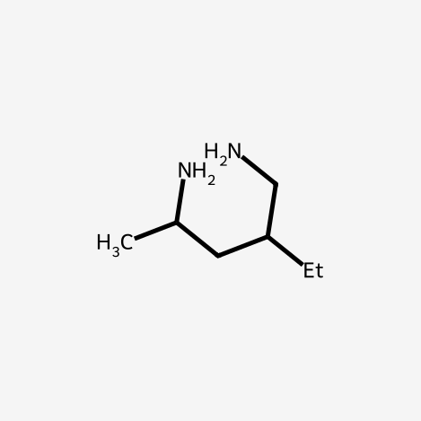 CCC(CN)CC(C)N